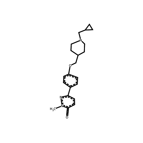 Cn1nc(-c2ccc(OCC3CCN(CC4CC4)CC3)cc2)ccc1=O